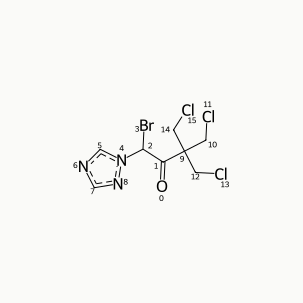 O=C(C(Br)n1cncn1)C(CCl)(CCl)CCl